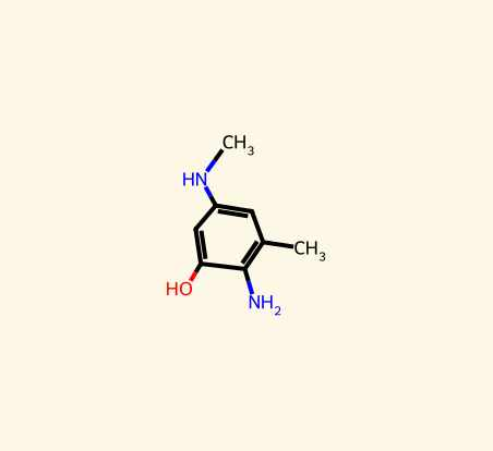 CNc1cc(C)c(N)c(O)c1